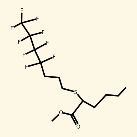 CCCCC(SCCCC(F)(F)C(F)(F)C(F)(F)C(F)(F)F)C(=O)OC